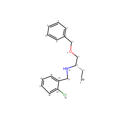 CC(C)C[C@@H](COCc1ccccc1)NCc1ccccc1Cl